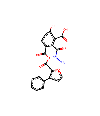 NNC(=O)c1c(C(=O)OC(=O)c2occc2-c2ccccc2)ccc(O)c1C(=O)O